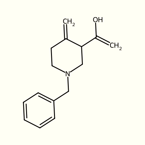 C=C(O)C1CN(Cc2ccccc2)CCC1=C